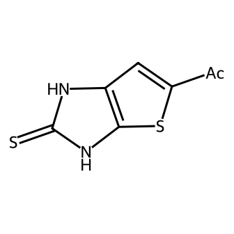 CC(=O)c1cc2[nH]c(=S)[nH]c2s1